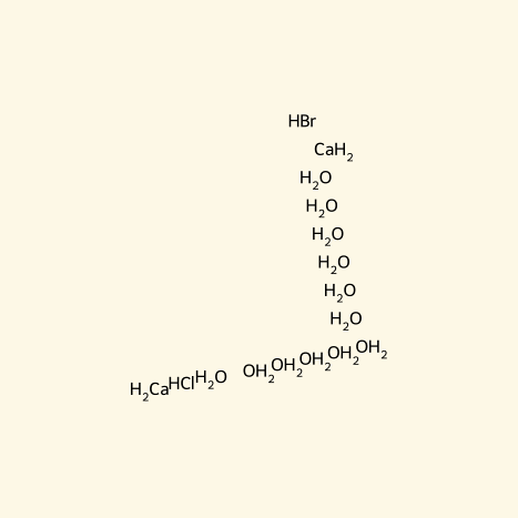 Br.Cl.O.O.O.O.O.O.O.O.O.O.O.O.[CaH2].[CaH2]